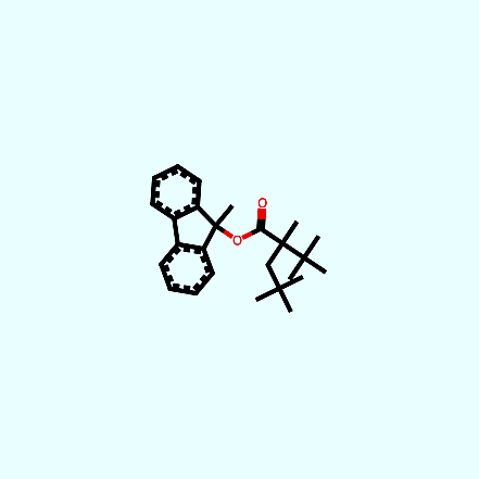 CC(C)(C)CC(C)(C(=O)OC1(C)c2ccccc2-c2ccccc21)C(C)(C)C